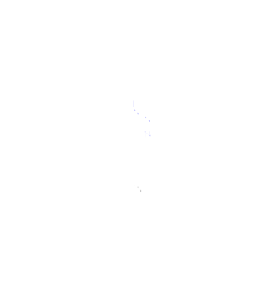 N#Cc1cccc(C2=CN[N+]=N2)c1